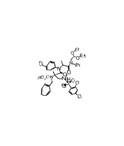 CCOC(CN(C(=O)C(C)N(C(=O)C(C)(CNS(=O)(=O)c1ccc(Cl)cc1Cl)N(Cc1ccccc1)C(=O)O)c1ccc(Cl)cc1)C(C)C)OCC